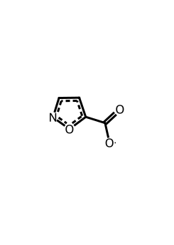 [O]C(=O)c1ccno1